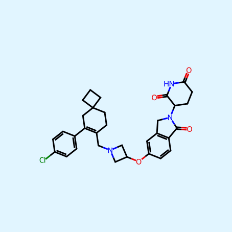 O=C1CCC(N2Cc3cc(OC4CN(CC5=C(c6ccc(Cl)cc6)CC6(CCC6)CC5)C4)ccc3C2=O)C(=O)N1